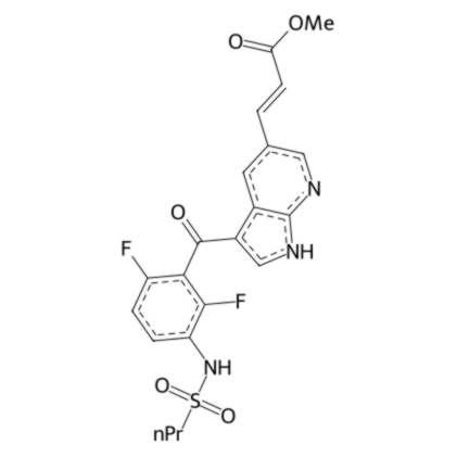 CCCS(=O)(=O)Nc1ccc(F)c(C(=O)c2c[nH]c3ncc(/C=C/C(=O)OC)cc23)c1F